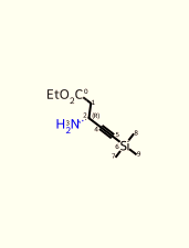 CCOC(=O)C[C@@H](N)C#C[Si](C)(C)C